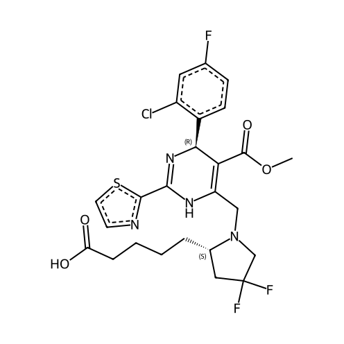 COC(=O)C1=C(CN2CC(F)(F)C[C@@H]2CCCCC(=O)O)NC(c2nccs2)=N[C@H]1c1ccc(F)cc1Cl